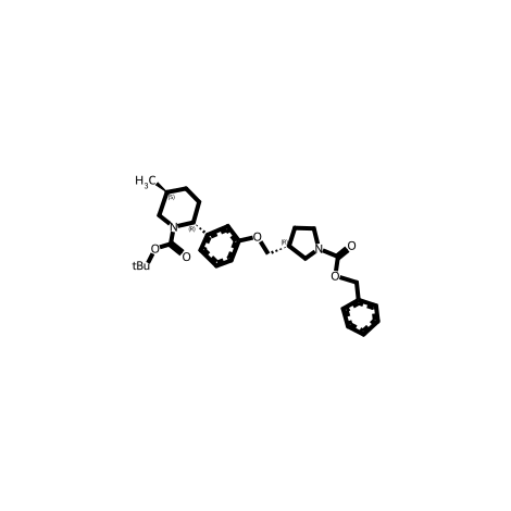 C[C@H]1CC[C@H](c2cccc(OC[C@@H]3CCN(C(=O)OCc4ccccc4)C3)c2)N(C(=O)OC(C)(C)C)C1